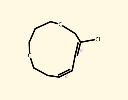 Cl/C1=C\C=C/CCCCCCCC1